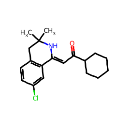 CC1(C)Cc2ccc(Cl)cc2/C(=C/C(=O)C2CCCCC2)N1